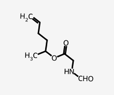 C=CCCC(C)OC(=O)CNC=O